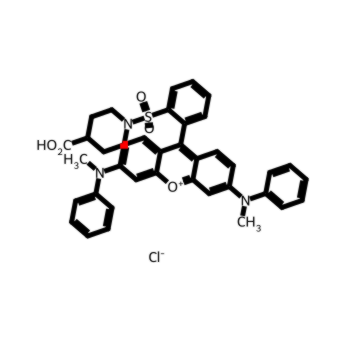 CN(c1ccccc1)c1ccc2c(-c3ccccc3S(=O)(=O)N3CCC(C(=O)O)CC3)c3ccc(N(C)c4ccccc4)cc3[o+]c2c1.[Cl-]